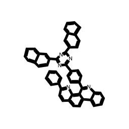 c1ccc(-c2ccc3ccc4c5ccccc5nc(-c5ccc(-c6nc(-c7ccc8ccccc8c7)nc(-c7ccc8ccccc8c7)n6)cc5)c4c3n2)cc1